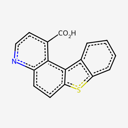 O=C(O)c1ccnc2ccc3sc4ccccc4c3c12